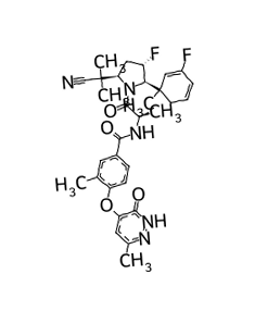 Cc1cc(Oc2ccc(C(=O)N[C@H](C)C(=O)N3[C@H](C4(C)C=C(F)C=CC4)[C@@H](F)C[C@@H]3C(C)(C)C#N)cc2C)c(=O)[nH]n1